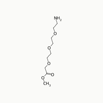 COC(=O)COCCOCCOCCN